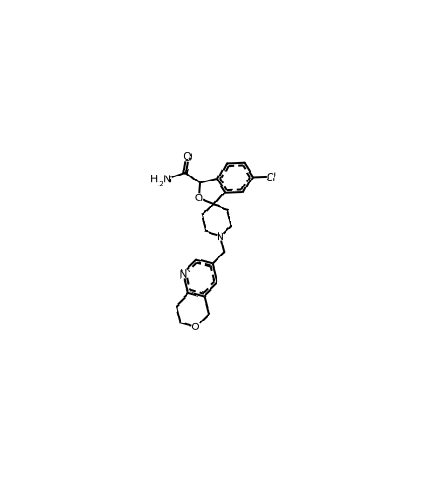 NC(=O)C1OC2(CCN(Cc3cnc4c(c3)COCC4)CC2)c2cc(Cl)ccc21